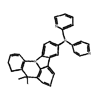 CC1(C)C2=C(C=CCC2)n2c3ccc(N(c4ccncc4)c4ccccn4)cc3c3cccc1c32